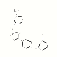 Nc1nccc(Oc2ccc(-c3nnc(Nc4cccc(C(F)(F)F)c4)[nH]3)cc2)n1